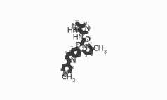 C[C@H]1CC[C@H](c2ccc3ccc(C4CCN(C)CC4)nc3c2)N(C(=O)C(=O)Nc2cncc3cn[nH]c23)C1